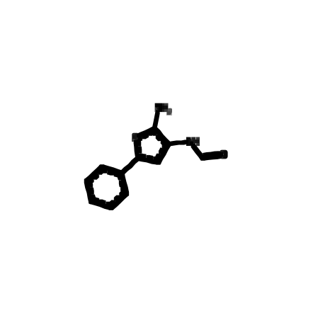 Nc1sc(-c2ccccc2)cc1NC=O